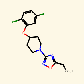 O=C(O)Cc1nc(N2CCC(Oc3cc(F)ccc3Br)CC2)no1